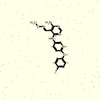 CO/N=C/c1c(N)ncnc1Nc1ccc(Oc2ccc(F)cc2)nc1